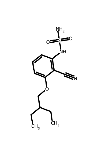 CCC(CC)COc1cccc(NS(N)(=O)=O)c1C#N